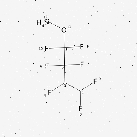 FC(F)C(F)C(F)(F)C(F)(F)O[SiH3]